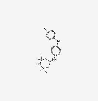 Cc1ccc(Nc2ccc(NC3CC(C)(C)NC(C)(C)C3)cc2)cc1